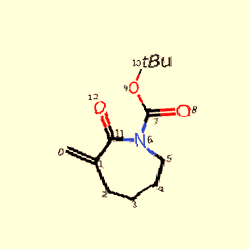 C=C1CCCCN(C(=O)OC(C)(C)C)C1=O